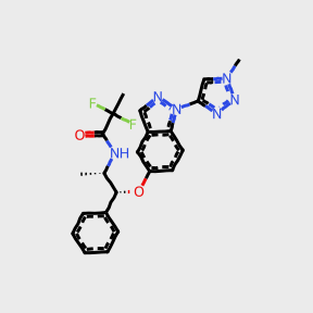 C[C@H](NC(=O)C(C)(F)F)[C@H](Oc1ccc2c(cnn2-c2cn(C)nn2)c1)c1ccccc1